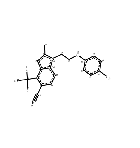 Cc1cc2c(C(F)(F)F)c(C#N)ccc2n1CCOc1ccc(I)cc1